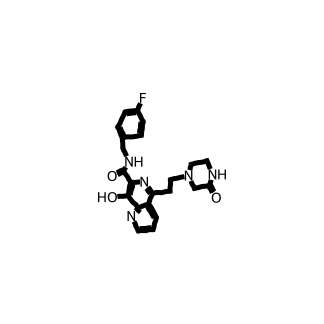 O=C1CN(CCc2nc(C(=O)NCc3ccc(F)cc3)c(O)c3ncccc23)CCN1